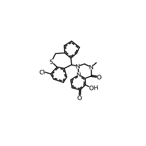 CN1CN(C2c3ccccc3CSc3c(Cl)cccc32)n2ccc(=O)c(O)c2C1=O